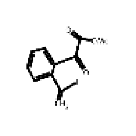 C=C(I)c1ccccc1C(=O)C(=O)OC